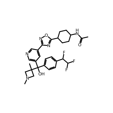 CC(=O)NC1CCC(c2nc(-c3cncc(C(O)(c4ccc(C(F)C(F)F)cc4)C4(C)CN(C)C4)c3)no2)CC1